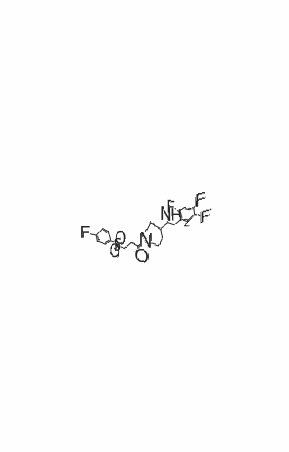 NC(Cc1cc(F)c(F)cc1F)C1CCN(C(=O)CCS(=O)(=O)c2ccc(F)cc2)CC1